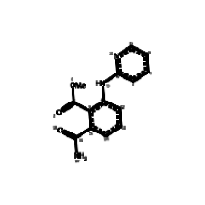 COC(=O)c1c(Nc2ccccn2)cccc1C(N)=O